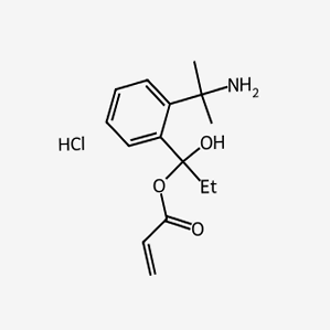 C=CC(=O)OC(O)(CC)c1ccccc1C(C)(C)N.Cl